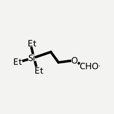 CC[Si](CC)(CC)CCO[C]=O